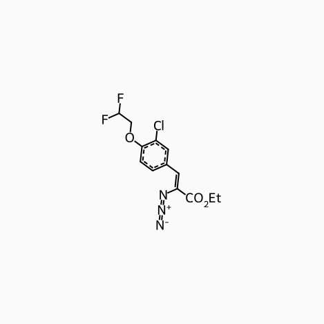 CCOC(=O)C(=Cc1ccc(OCC(F)F)c(Cl)c1)N=[N+]=[N-]